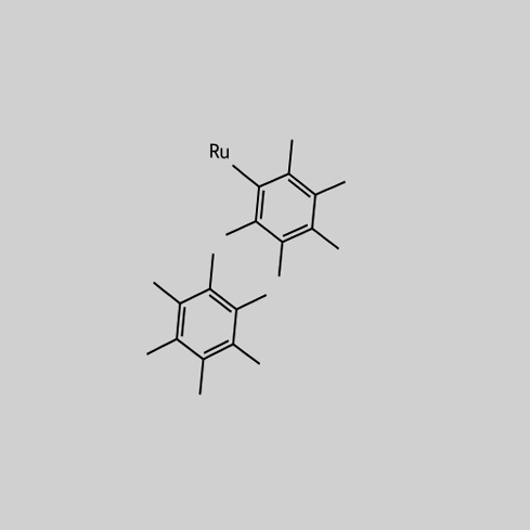 Cc1c(C)c(C)c(C)c(C)c1C.Cc1c(C)c(C)c(C)c(C)c1C.[Ru]